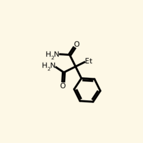 CCC(C(N)=O)(C(N)=O)c1ccccc1